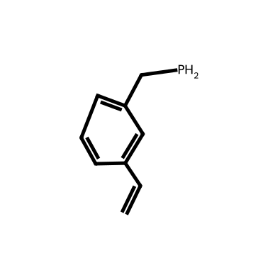 C=Cc1cccc(CP)c1